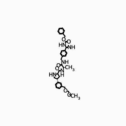 COCOCc1cccc([C@@H]2CNC(C(=O)N[C@@H](C)C(=O)NCc3ccc(C(=N)NC(=O)OCc4ccccc4)cc3)C2)c1